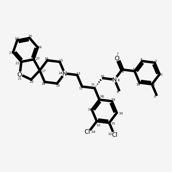 Cc1cccc(C(=O)N(C)C[C@@H](CCN2CCC3(CC2)COc2ccccc23)c2ccc(Cl)c(Cl)c2)c1